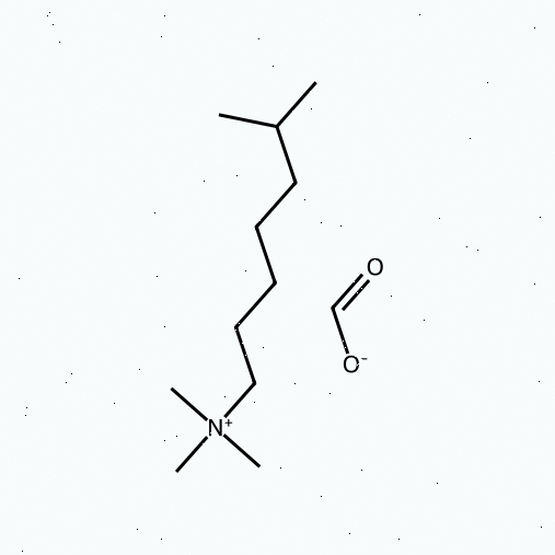 CC(C)CCCCC[N+](C)(C)C.O=C[O-]